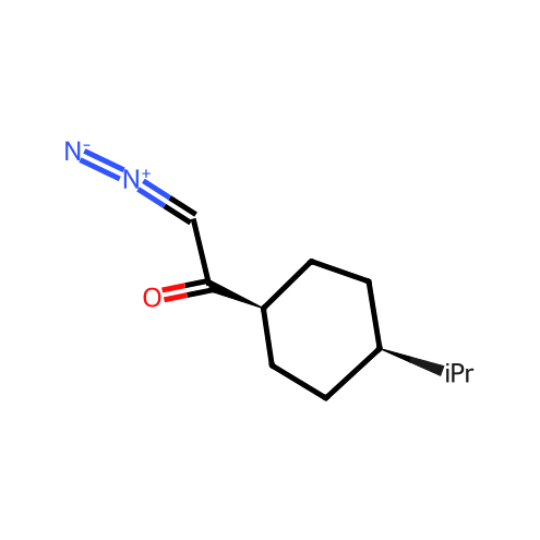 CC(C)[C@H]1CC[C@@H](C(=O)C=[N+]=[N-])CC1